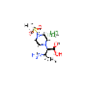 CC(N)C(C(=O)O)N1CCN(S(C)(=O)=O)CC1.Cl.Cl